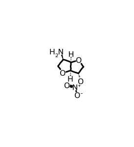 N[C@@H]1CO[C@H]2[C@@H]1OC[C@@H]2O[N+](=O)[O-]